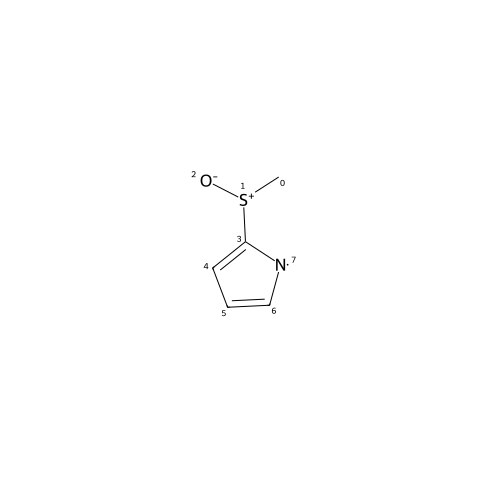 C[S+]([O-])C1=CC=C[N]1